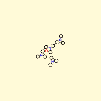 C1=CCCC(n2c3c(c4cc(-c5ccc(N(c6cccc7c6oc6c7ccc7c6c6c(n7-c7ccccc7)CCC=C6)C6C=CC(C7C=Cc8c(c9ccccc9n8-c8ccccc8)C7)=CC6)cc5)ccc42)CCC=C3)=C1